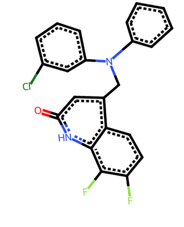 O=c1cc(CN(c2ccccc2)c2cccc(Cl)c2)c2ccc(F)c(F)c2[nH]1